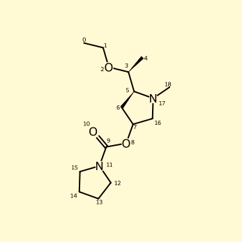 CCO[C@@H](C)[C@@H]1CC(OC(=O)N2CCCC2)CN1C